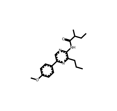 CCCc1nc(-c2ccc(OC)cc2)cnc1NC(=O)C(C)CC